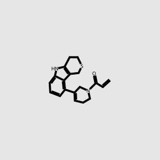 C=CC(=O)N1CCC=C(c2cccc3[nH]c4c(c23)CSCC4)C1